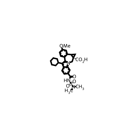 COc1ccc2c(c1)C1C[C@@]1(C(=O)O)Cn1c-2c(C2CCCCC2)c2ccc(C(=O)NS(=O)(=O)N(C)C)cc21